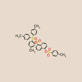 Cc1ccc(S(OS(=O)(=O)c2cccc3c(OS(=O)(=O)c4ccc(C)cc4)cccc23)(c2ccc(C)cc2)c2ccc(C)cc2)cc1